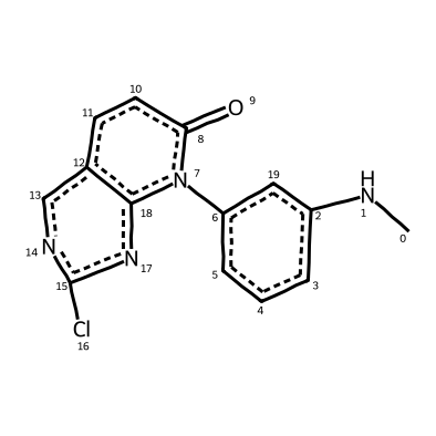 CNc1cccc(-n2c(=O)ccc3cnc(Cl)nc32)c1